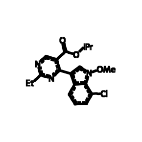 CCc1ncc(C(=O)OC(C)C)c(-c2cn(OC)c3c(Cl)cccc23)n1